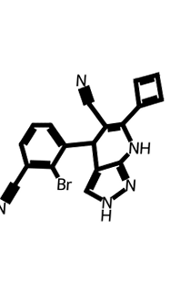 N#CC1=C(C2=CC=C2)Nc2n[nH]cc2C1c1cccc(C#N)c1Br